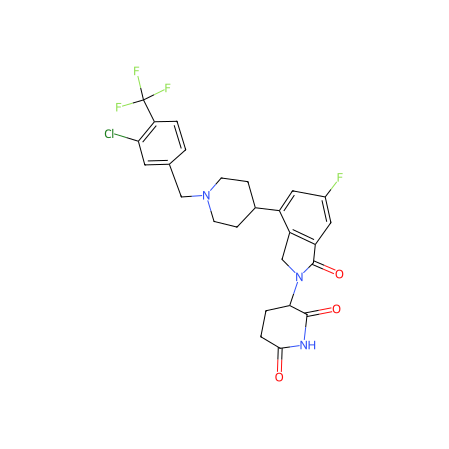 O=C1CCC(N2Cc3c(cc(F)cc3C3CCN(Cc4ccc(C(F)(F)F)c(Cl)c4)CC3)C2=O)C(=O)N1